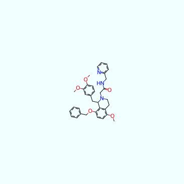 COc1ccc(CC2c3c(OCc4ccccc4)ccc(OC)c3CCN2CC(=O)NCc2ccccn2)cc1OC